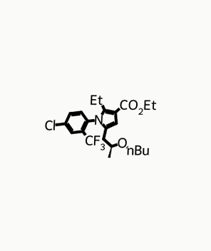 CCCCO[C@@H](C)Cc1cc(C(=O)OCC)c(CC)n1-c1ccc(Cl)cc1C(F)(F)F